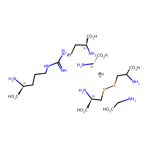 CC(C)C[C@H](N)C(=O)O.CC[C@H](C)[C@H](N)C(=O)O.N=C(N)NCCC[C@H](N)C(=O)O.NC(CSSC[C@H](N)C(=O)O)C(=O)O.NCC(=O)O